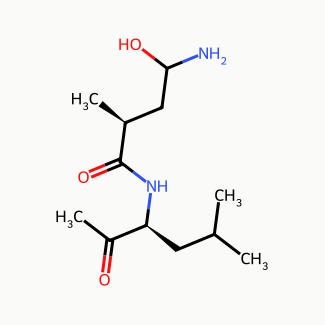 CC(=O)[C@H](CC(C)C)NC(=O)[C@@H](C)CC(N)O